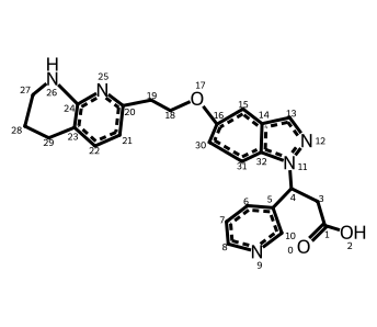 O=C(O)CC(c1cccnc1)n1ncc2cc(OCCc3ccc4c(n3)NCCC4)ccc21